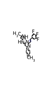 Cc1cc(Nc2cc(N3CCN(C)CC3)nc(/C=C/c3cc(F)c(F)c(F)c3)n2)n[nH]1